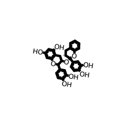 Oc1cc(O)c2c(c1)OC(c1ccc(O)c(O)c1)C(OC1(c3ccc(O)c(O)c3)[CH]Cc3ccccc3O1)C2